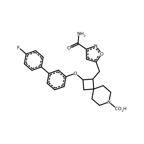 NC(=O)c1cc(CC2C(Oc3cccc(-c4ccc(F)cc4)c3)CC23CCN(C(=O)O)CC3)on1